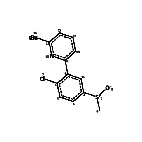 C[S+]([O-])c1ccc(Cl)c(-c2cccc(C(C)(C)C)n2)c1